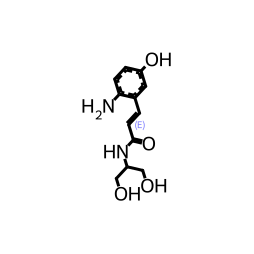 Nc1ccc(O)cc1/C=C/C(=O)NC(CO)CO